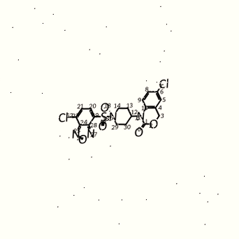 O=C1OCc2cc(Cl)ccc2N1C1CCN(S(=O)(=O)c2ccc(Cl)c3nonc23)CC1